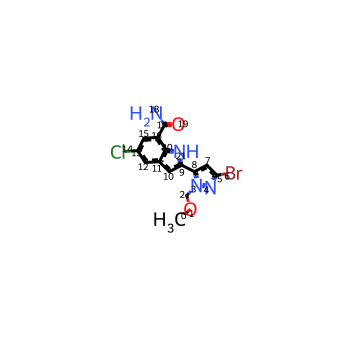 COCn1nc(Br)cc1-c1cc2cc(Cl)cc(C(N)=O)c2[nH]1